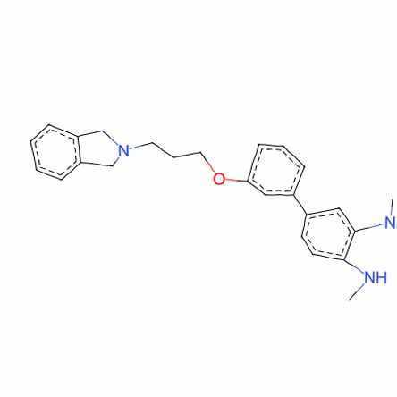 CNc1ccc(-c2cccc(OCCCN3Cc4ccccc4C3)c2)cc1NC